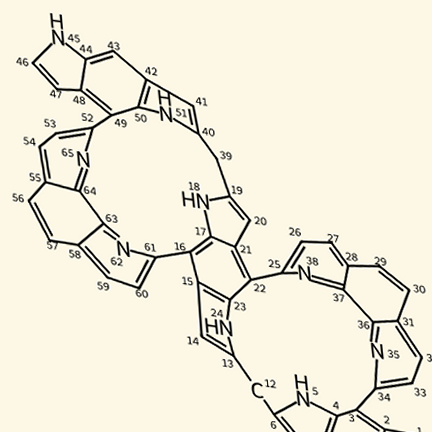 c1cc2c3c4[nH]c(cc4cc2[nH]1)Cc1cc2c4c5[nH]c(cc5c(c2[nH]1)-c1ccc2ccc5ccc-3nc5c2n1)Cc1cc2cc3[nH]ccc3c(c2[nH]1)-c1ccc2ccc3ccc-4nc3c2n1